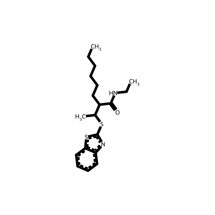 CCCCCCC(C(=O)NCC)C(C)Sc1nc2ccccc2s1